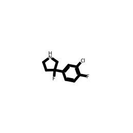 Fc1ccc(C2(F)CCNC2)cc1Cl